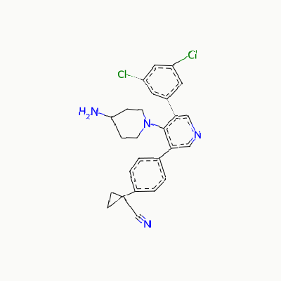 N#CC1(c2ccc(-c3cncc(-c4cc(Cl)cc(Cl)c4)c3N3CCC(N)CC3)cc2)CC1